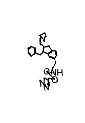 Cn1cc(S(=O)(=O)NCCc2ccc3c(c2)C(Cc2ccccc2)C(CN2CCC2)C3)cn1